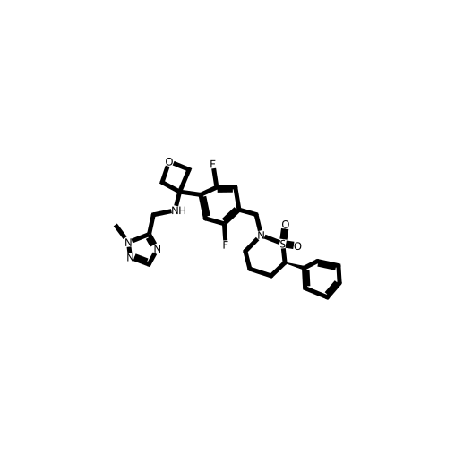 Cn1ncnc1CNC1(c2cc(F)c(CN3CCC[C@H](c4ccccc4)S3(=O)=O)cc2F)COC1